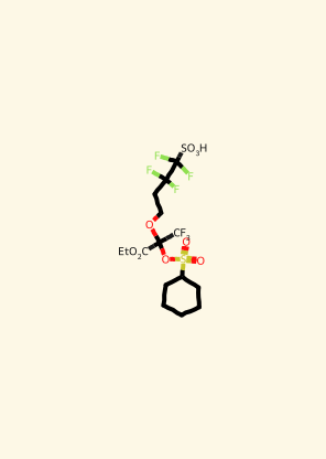 CCOC(=O)C(OCCC(F)(F)C(F)(F)S(=O)(=O)O)(OS(=O)(=O)C1CCCCC1)C(F)(F)F